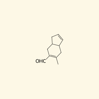 CC1=C(C=O)CC2CC=CC2C1